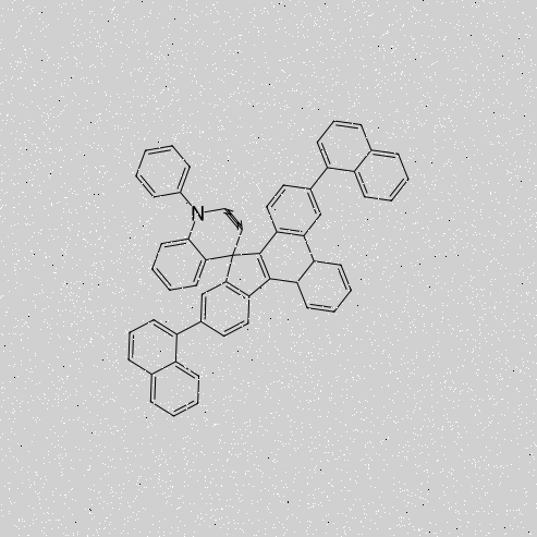 C1=CC2C3=C(c4ccc(-c5cccc6ccccc56)cc4C2C=C1)C1(c2cc(-c4cccc5ccccc45)ccc23)c2ccccc2N(c2ccccc2)c2ccccc21